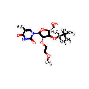 COCCO[C@H]1C(O[Si](C)(C)C(C)(C)C)[C@@H](CO)O[C@@H]1n1cc(C)c(=O)[nH]c1=O